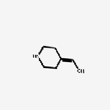 OC=C1CCNCC1